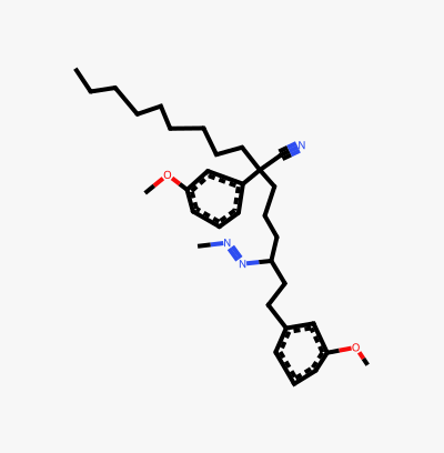 CCCCCCCCCC(C#N)(CCCC(CCc1cccc(OC)c1)/N=N/C)c1cccc(OC)c1